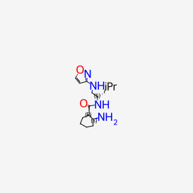 CC(C)C[C@@H](CNc1ccon1)NC(=O)[C@@H]1CCCC[C@@H]1N